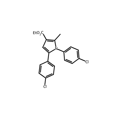 CCOC(=O)c1cc(-c2ccc(Cl)cc2)n(-c2ccc(Cl)cc2)c1C